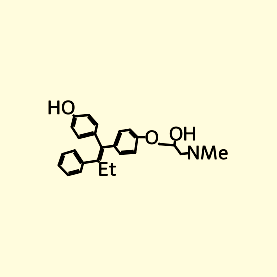 CCC(=C(c1ccc(O)cc1)c1ccc(OCC(O)CNC)cc1)c1ccccc1